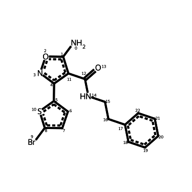 Nc1onc(-c2ccc(Br)s2)c1C(=O)NCCc1ccccc1